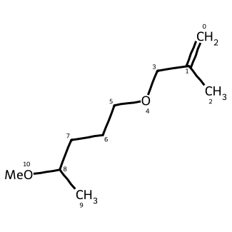 C=C(C)COCCCC(C)OC